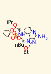 CCCC[C@H](CO[P@@](=O)(N[C@@H](C)C(=O)OC(C)C)Oc1ccccc1)n1c(COCC)nc2c(N)nc3ccccc3c21